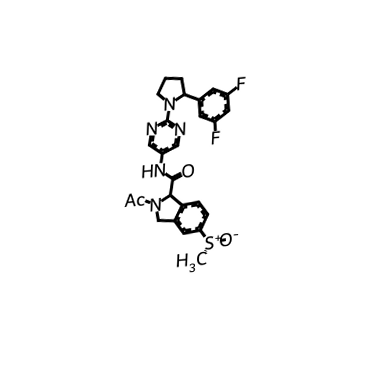 CC(=O)N1Cc2cc([S+](C)[O-])ccc2C1C(=O)Nc1cnc(N2CCCC2c2cc(F)cc(F)c2)nc1